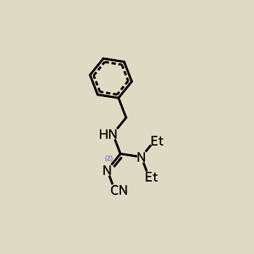 CCN(CC)/C(=N\C#N)NCc1ccccc1